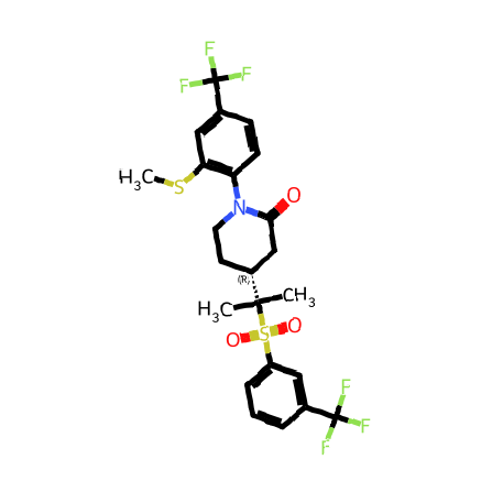 CSc1cc(C(F)(F)F)ccc1N1CC[C@@H](C(C)(C)S(=O)(=O)c2cccc(C(F)(F)F)c2)CC1=O